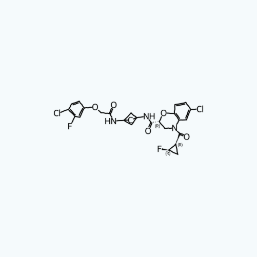 O=C(COc1ccc(Cl)c(F)c1)NC12CC(NC(=O)[C@H]3CN(C(=O)[C@H]4C[C@H]4F)c4cc(Cl)ccc4O3)(C1)C2